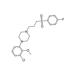 COc1c(Cl)cccc1N1CCN(CCCS(=O)(=O)c2ccc(F)cc2)CC1